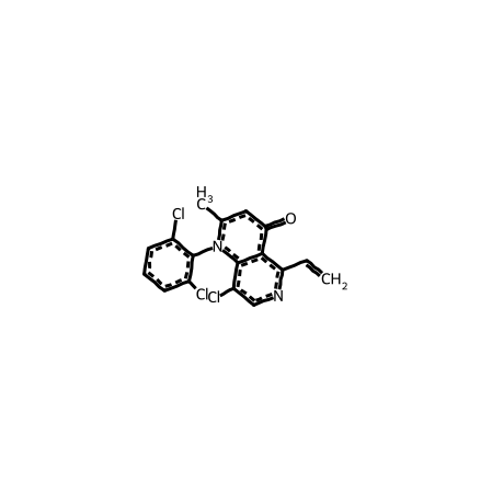 C=Cc1ncc(Cl)c2c1c(=O)cc(C)n2-c1c(Cl)cccc1Cl